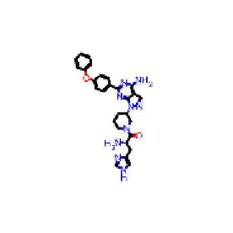 Nc1nc(-c2ccc(Oc3ccccc3)cc2)nc2c1cnn2[C@@H]1CCCN(C(=O)[C@H](N)Cc2c[nH]cn2)C1